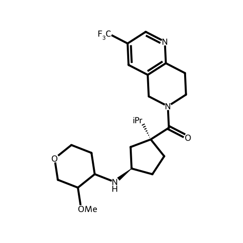 COC1COCCC1N[C@@H]1CC[C@@](C(=O)N2CCc3ncc(C(F)(F)F)cc3C2)(C(C)C)C1